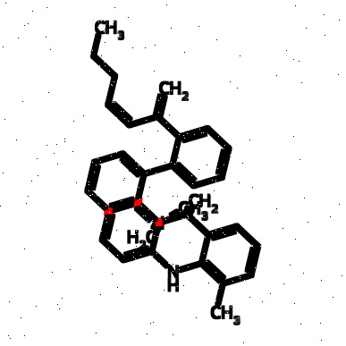 C=C(/C=C\CCC)c1ccccc1-c1ccccc1C(=C)C(=C)c1cccc(C)c1Nc1cccc[n+]1C